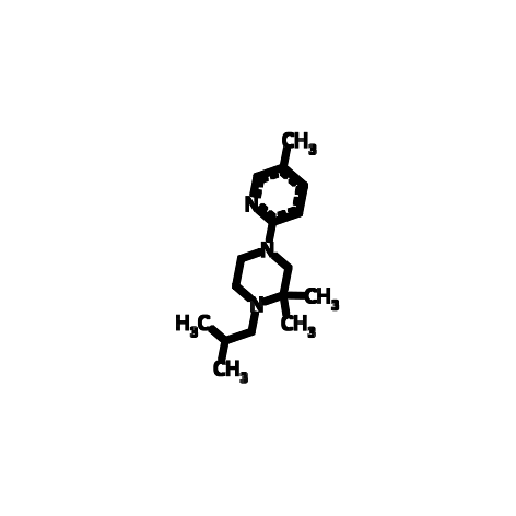 Cc1ccc(N2CCN(CC(C)C)C(C)(C)C2)nc1